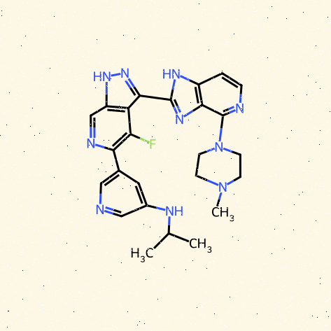 CC(C)Nc1cncc(-c2ncc3[nH]nc(-c4nc5c(N6CCN(C)CC6)nccc5[nH]4)c3c2F)c1